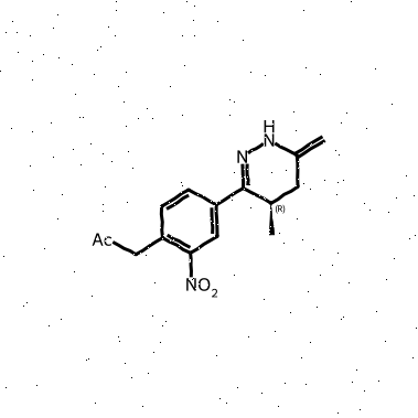 C=C1C[C@@H](C)C(c2ccc(CC(C)=O)c([N+](=O)[O-])c2)=NN1